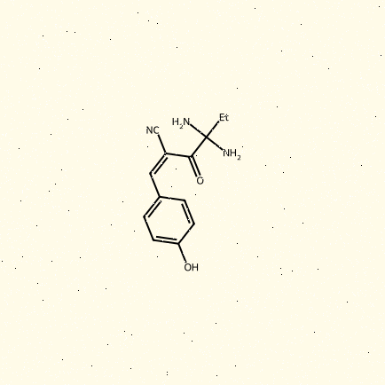 CCC(N)(N)C(=O)C(C#N)=Cc1ccc(O)cc1